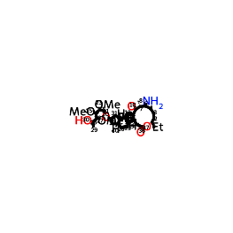 CC[C@H]1CCCC(N)[C@@H](C)C(=O)C2=C[C@@H]3[C@@H](C=C[C@@H]4C[C@@H](OCC(OC)C(OC)C(OC)C(C)O)C[C@@H]34)[C@@H]2CC(=O)O1